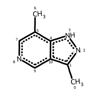 Cc1n[nH]c2c(C)cncc12